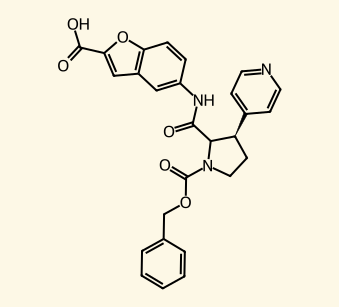 O=C(O)c1cc2cc(NC(=O)C3[C@@H](c4ccncc4)CCN3C(=O)OCc3ccccc3)ccc2o1